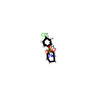 C=C1CC2CCC(C1)N2S(=O)(=O)c1ccc(Cl)cc1